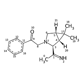 CC(=N)[C@@H]1[C@@H]2[C@H](CN1CC(=O)c1ccccc1)C2(C)C